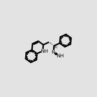 N=N[C@H](CC1C=Cc2ccccc2N1)c1ccccc1